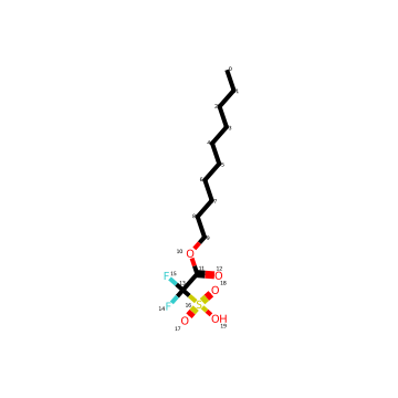 CCCCCCCCCCOC(=O)C(F)(F)S(=O)(=O)O